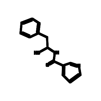 O=C(NC(O)Cc1ccccc1)c1cccnc1